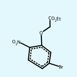 CCOC(=O)COc1cc(Br)ccc1[N+](=O)[O-]